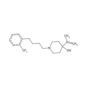 C=C(C)C1(O)CCN(CCCCc2ccccc2C(F)(F)F)CC1